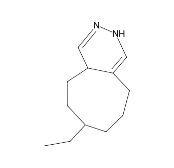 CCC1CCCC2=CNN=CC2CC1